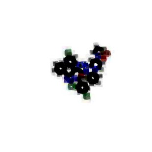 C[C@@H](c1ccc(Cl)cc1Cl)n1cnc(-c2ccccc2)c1-c1c(C(=O)Nc2ccccc2N2CCC(N3CCCS3(=O)=O)CC2)[nH]c2cc(Cl)ccc12